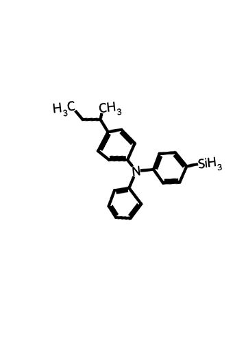 CCC(C)c1ccc(N(c2ccccc2)c2ccc([SiH3])cc2)cc1